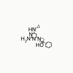 Nc1nc(NC2CC2)cc(N2CC[C@@](O)(c3ccccc3)C2)n1